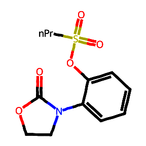 CCCS(=O)(=O)Oc1ccccc1N1CCOC1=O